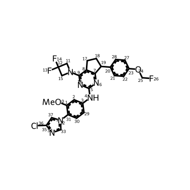 COc1cc(Nc2nc3c(c(N4CC(F)(F)C4)n2)CCC3c2ccc(OCF)cc2)ccc1-n1cnc(Cl)c1